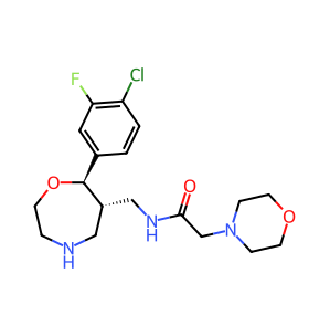 O=C(CN1CCOCC1)NC[C@@H]1CNCCO[C@H]1c1ccc(Cl)c(F)c1